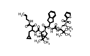 C=CCNC(=O)C(=O)C(CC1CC1)NC(=O)[C@@H]1[C@@H]2[C@H](CN1C(=O)[C@@H](NC(=O)N[C@H](CN(C)S(=O)(=O)c1cccs1)C(C)(C)C)C1Cc3ccccc3C1)C2(C)C